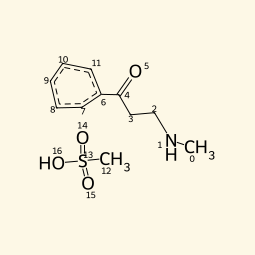 CNCCC(=O)c1ccccc1.CS(=O)(=O)O